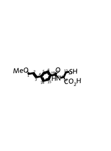 COC/C=C/c1ccc(C(=O)N[C@@H](CS)C(=O)O)cc1